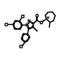 Cc1c(C(=O)O[C@H]2CCCCCC2C)nn(-c2ccc(Cl)cc2Cl)c1-c1ccc(Cl)cc1